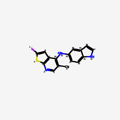 N#Cc1cnc2sc(I)cc2c1Nc1ccc2[nH]ccc2c1